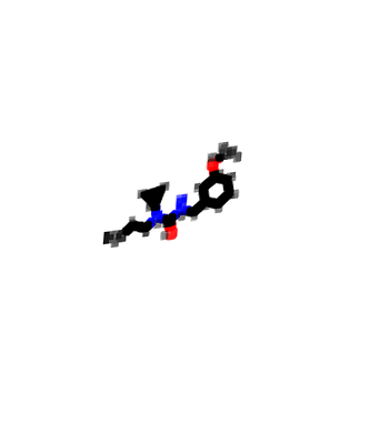 CCCN(C(=O)NCC1CCCC(OC)C1)C1CC1